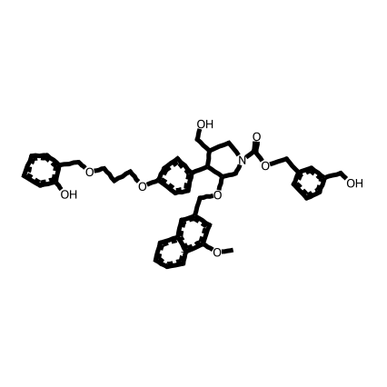 COc1cc(COC2CN(C(=O)OCc3cccc(CO)c3)CC(CO)C2c2ccc(OCCCOCc3ccccc3O)cc2)cc2ccccc12